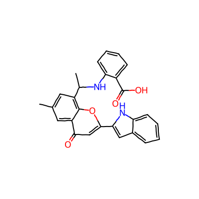 Cc1cc(C(C)Nc2ccccc2C(=O)O)c2oc(-c3cc4ccccc4[nH]3)cc(=O)c2c1